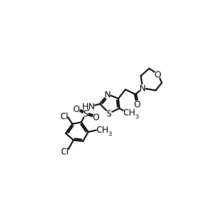 Cc1cc(Cl)cc(Cl)c1S(=O)(=O)Nc1nc(CC(=O)N2CCOCC2)c(C)s1